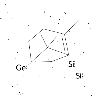 CC1=C2CC(CC1)C2(C)C.[Ge].[Si].[Si]